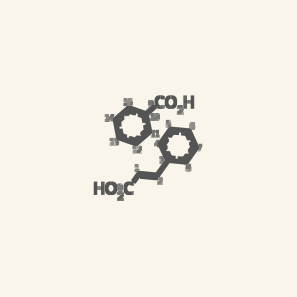 O=C(O)C=Cc1ccccc1.O=C(O)c1ccccc1